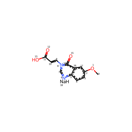 COc1ccc2ncn(/C=C/C(=O)O)c(=O)c2c1.[NaH]